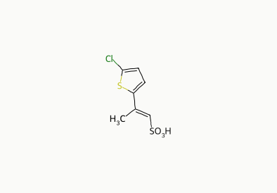 CC(=CS(=O)(=O)O)c1ccc(Cl)s1